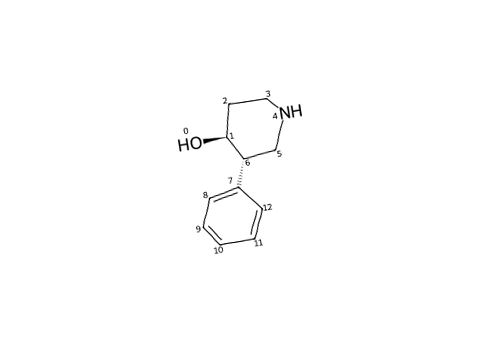 O[C@H]1CCNC[C@@H]1c1ccccc1